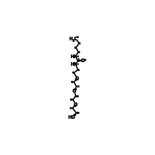 CCCCNC(=O)NCCOCCOCCOCCO